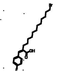 O=C(O)C(=Cc1ccc(F)cc1)CCCCCCCCCCCCBr